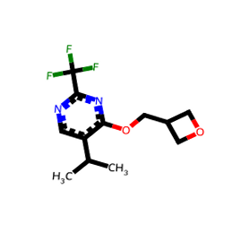 CC(C)c1cnc(C(F)(F)F)nc1OCC1COC1